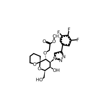 COC(=O)CO[C@@H]1[C@@H](n2cc(-c3cc(F)c(F)c(F)c3)nn2)[C@@H](O)[C@@H](CO)O[C@@]12CCCCO2